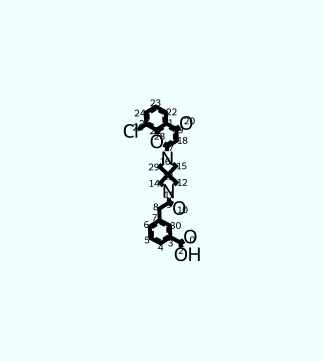 O=C(O)c1cccc(CC(=O)N2CC3(C2)CN(c2cc(=O)c4cccc(Cl)c4o2)C3)c1